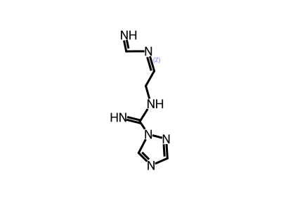 N=C/N=C\CNC(=N)n1cncn1